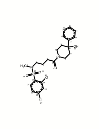 CN(CCCC(=O)N1CCC(O)(c2cccnc2)CC1)S(=O)(=O)c1ccc(Cl)cc1Cl